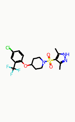 Cc1n[nH]c(C)c1S(=O)(=O)N1CCC(Oc2ccc(Cl)cc2C(F)(F)F)CC1